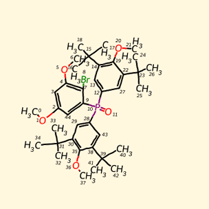 COc1cc(OC)c(Br)c(P(=O)(c2cc(C(C)(C)C)c(OC)c(C(C)(C)C)c2)c2cc(C(C)(C)C)c(OC)c(C(C)(C)C)c2)c1